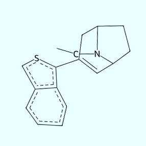 CCN1C2C=C(c3scc4ccccc34)CC1CC2